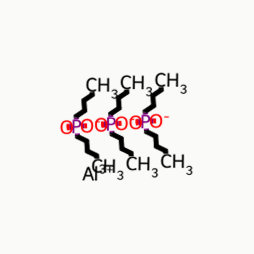 CCCCCP(=O)([O-])CCCCC.CCCCCP(=O)([O-])CCCCC.CCCCCP(=O)([O-])CCCCC.[Al+3]